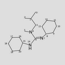 CC(C)CN(C)C(=NC1CCCCC1)NC1CCCCC1